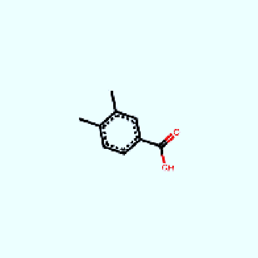 [CH2]c1cc(C(=O)O)ccc1C